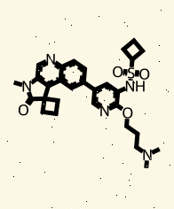 CN(C)CCCOc1ncc(-c2ccc3ncc4c(c3c2)C2(CCC2)C(=O)N4C)cc1NS(=O)(=O)C1CCC1